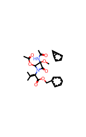 COC1(NC(C)=O)C(=O)N(C(C(=O)OCc2ccccc2)=C(C)C)C1OC(C)=O.c1cc2cc-2c1